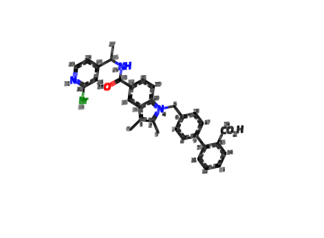 Cc1c(C)n(Cc2ccc(-c3ccccc3C(=O)O)cc2)c2ccc(C(=O)NC(C)c3ccnc(Br)c3)cc12